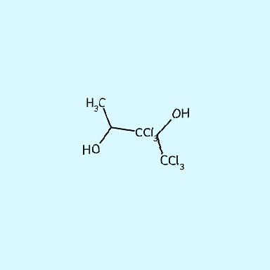 CC(O)C(Cl)(Cl)Cl.OCC(Cl)(Cl)Cl